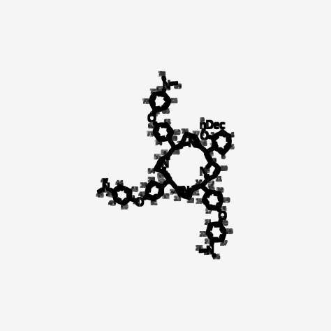 CCCCCCCCCCOc1ccccc1C1=C2C=CC(=N2)C(c2ccc(Oc3ccc(N(C)C)cc3)cc2)=C2C=CC(=N2)C(c2ccc(Oc3ccc(N(C)C)cc3)cc2)=C2C=CC(=N2)C(c2ccc(Oc3ccc(N(C)C)cc3)cc2)=C2C=CC1=N2